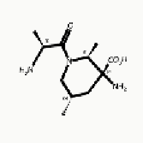 C[C@@H]1CN(C(=O)[C@H](C)N)[C@@H](C)[C@@](N)(C(=O)O)C1